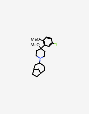 COc1ccc(F)cc1C1(OC)CCN(C2CCC3CCC(C3)C2)CC1